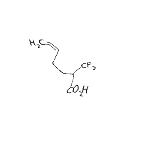 C=CCC(C(=O)O)C(F)(F)F